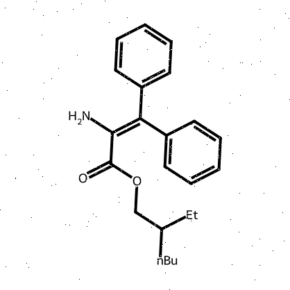 CCCCC(CC)COC(=O)C(N)=C(c1ccccc1)c1ccccc1